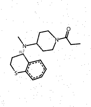 CCC(=O)N1CCC(N(C)[C@H]2CCSc3ccccc32)CC1